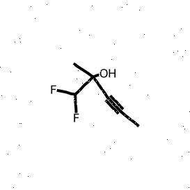 CC#CC(C)(O)C(F)F